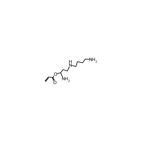 C=CC(=O)OC(N)CCNCCCCN